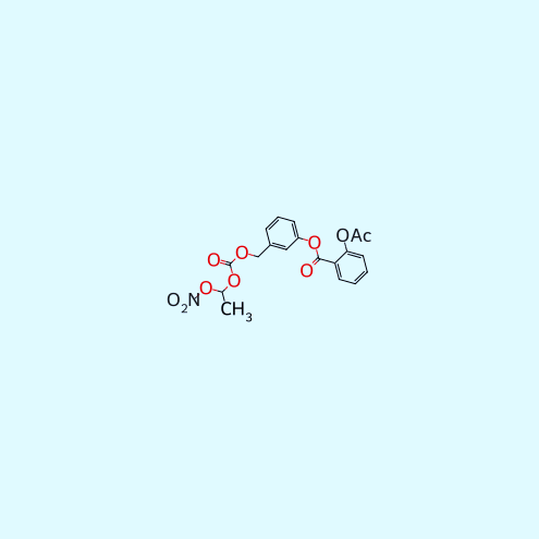 CC(=O)Oc1ccccc1C(=O)Oc1cccc(COC(=O)OC(C)O[N+](=O)[O-])c1